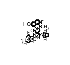 [2H]C1([2H])CC[C@@]2(C([2H])([2H])Oc3nc(N4C[C@H]5CC[C@@H](C4)N5)c4cnn(-c5cc(O)cc6ccc(F)c(CC)c56)c(=O)c4n3)C[C@@H](F)CN12